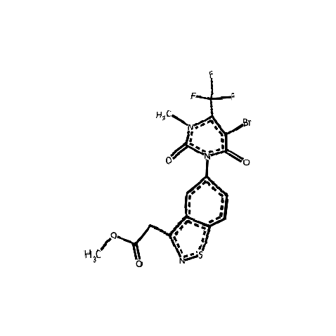 COC(=O)Cc1nsc2ccc(-n3c(=O)c(Br)c(C(F)(F)F)n(C)c3=O)cc12